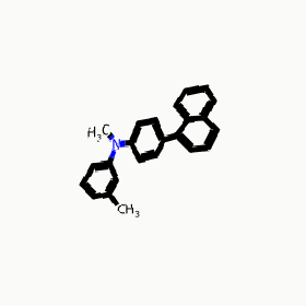 Cc1cccc(N(C)c2ccc(-c3cccc4ccccc34)cc2)c1